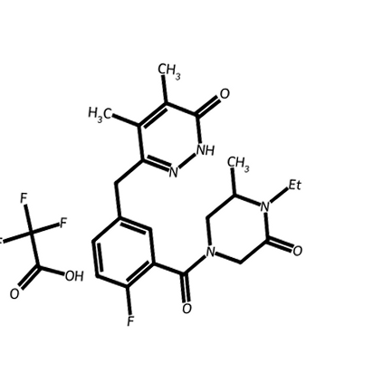 CCN1C(=O)CN(C(=O)c2cc(Cc3n[nH]c(=O)c(C)c3C)ccc2F)CC1C.O=C(O)C(F)(F)F